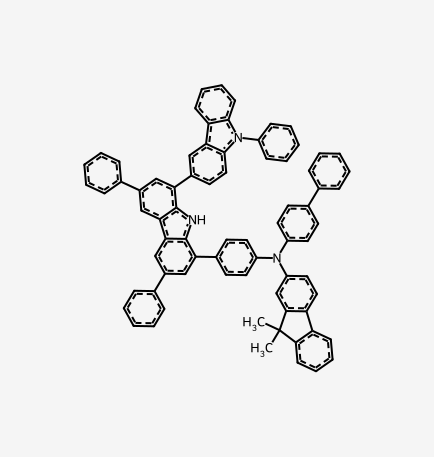 CC1(C)c2ccccc2-c2ccc(N(c3ccc(-c4ccccc4)cc3)c3ccc(-c4cc(-c5ccccc5)cc5c4[nH]c4c(-c6ccc7c(c6)c6ccccc6n7-c6ccccc6)cc(-c6ccccc6)cc45)cc3)cc21